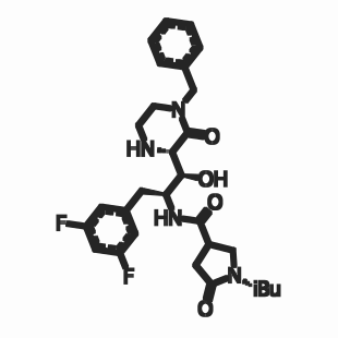 CC[C@@H](C)N1CC(C(=O)N[C@@H](Cc2cc(F)cc(F)c2)[C@H](O)[C@@H]2NCCN(Cc3ccccc3)C2=O)CC1=O